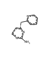 Nc1nccc(Cc2ccccn2)n1